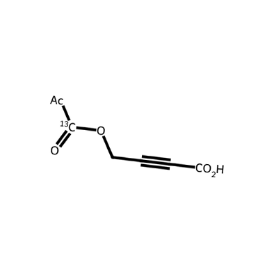 CC(=O)[13C](=O)OCC#CC(=O)O